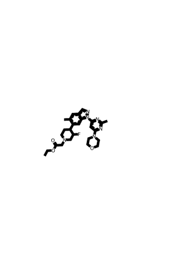 CCOC(=O)CN1CCC(c2cc3c(cnn3-c3cc(N4CCOCC4)nc(C)n3)cc2C)C(F)C1